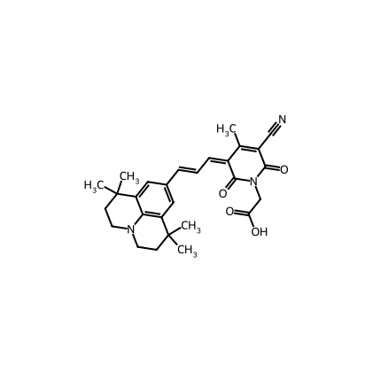 CC1=C(C#N)C(=O)N(CC(=O)O)C(=O)/C1=C\C=C\c1cc2c3c(c1)C(C)(C)CCN3CCC2(C)C